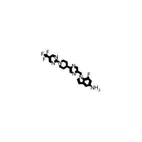 Nc1cc(F)c2c(ccn2Cc2cnc(C3CCN(c4ncc(C(F)(F)F)cn4)CC3)cn2)c1